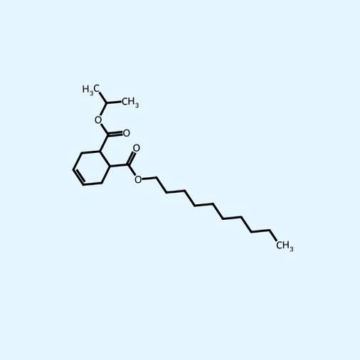 CCCCCCCCCCOC(=O)C1CC=CCC1C(=O)OC(C)C